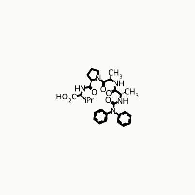 CC(C)[C@H](NC(=O)[C@H]1CCCN1C(=O)[C@H](C)NC(=O)[C@H](C)NC(=O)N(c1ccccc1)c1ccccc1)C(=O)O